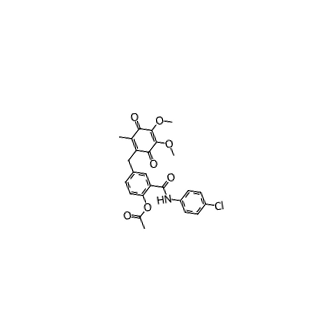 COC1=C(OC)C(=O)C(Cc2ccc(OC(C)=O)c(C(=O)Nc3ccc(Cl)cc3)c2)=C(C)C1=O